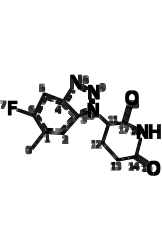 Cc1cc2c(cc1F)nnn2C1CCC(=O)NC1=O